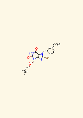 COc1cccc(Cn2c(Br)nc3c2c(=O)[nH]c(=O)n3COCC[Si](C)(C)C)c1